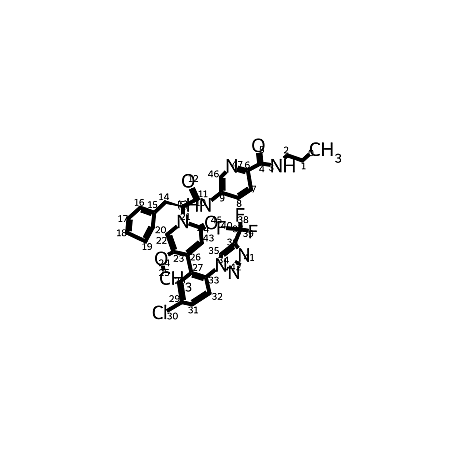 CCCNC(=O)c1ccc(NC(=O)[C@H](Cc2ccccc2)n2cc(OC)c(-c3cc(Cl)ccc3-n3cc(C(F)(F)F)nn3)cc2=O)cn1